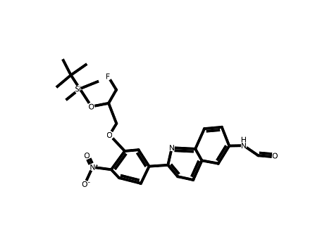 CC(C)(C)[Si](C)(C)OC(CF)COc1cc(-c2ccc3cc(NC=O)ccc3n2)ccc1[N+](=O)[O-]